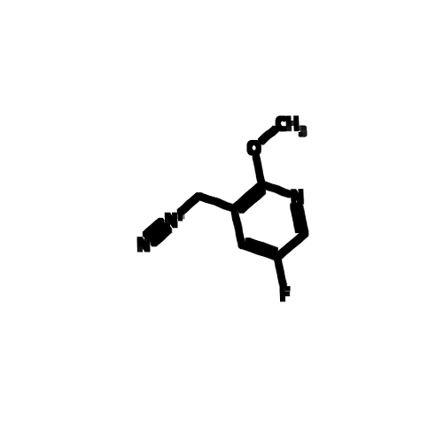 COc1ncc(F)cc1C[N+]#N